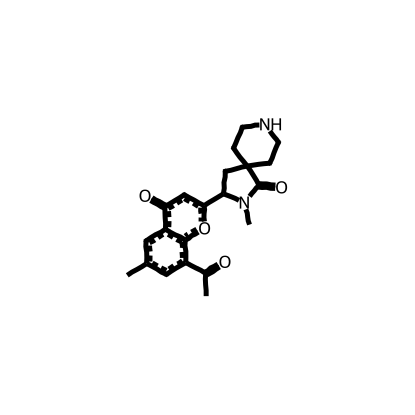 CC(=O)c1cc(C)cc2c(=O)cc(C3CC4(CCNCC4)C(=O)N3C)oc12